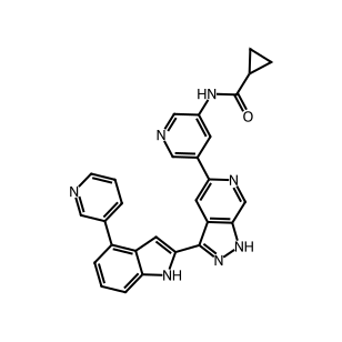 O=C(Nc1cncc(-c2cc3c(-c4cc5c(-c6cccnc6)cccc5[nH]4)n[nH]c3cn2)c1)C1CC1